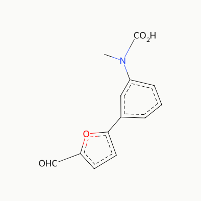 CN(C(=O)O)c1cccc(-c2ccc(C=O)o2)c1